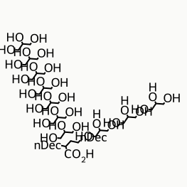 CCCCCCCCCCCCC(CCCCCCCCCC)C(=O)O.OCC(O)CO.OCC(O)CO.OCC(O)CO.OCC(O)CO.OCC(O)CO.OCC(O)CO.OCC(O)CO.OCC(O)CO.OCC(O)CO.OCC(O)CO